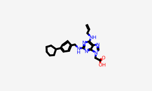 C=CCNc1nc(NCc2ccc(C3CCCCC3)cc2)nc2c1ncn2CC(=O)O